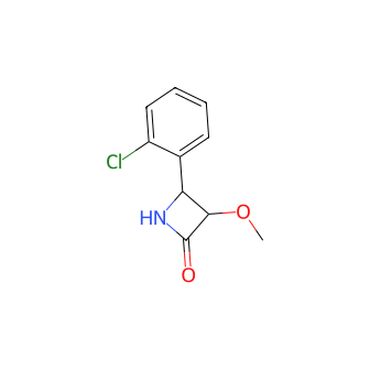 COC1C(=O)NC1c1ccccc1Cl